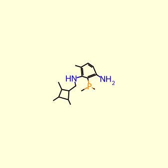 Cc1ccc(N)c(P(C)C)c1NCC1C(C)C(C)C1C